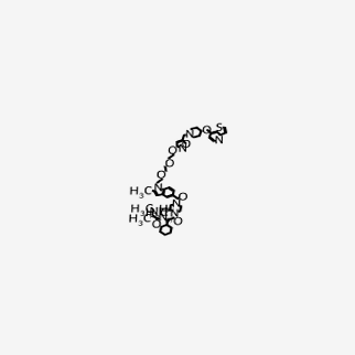 CN[C@@H](C)C(=O)N[C@H](C(=O)N1CCN(C(=O)c2ccc3c(c2)cc(C)n3CCOCCOCCOc2cc(CN3CCC(Oc4ccnc5ccsc45)CC3)on2)C[C@H]1C)C1CCCCC1